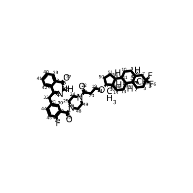 C[C@]12CCC(F)(F)C[C@@H]1CC[C@@H]1[C@@H]2CC[C@]2(C)[C@@H](OCCC(=O)N3CCN(C(=O)c4cc(Cc5n[nH]c(=O)c6ccccc56)ccc4F)CC3)CC[C@@H]12